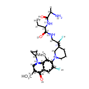 COc1c(N2CCC/C(=C(\F)CNC(=O)C(CC(C)C)NC(=O)C(C)N)C2)c(F)cc2c(=O)c(C(=O)O)cn(C3CC3)c12